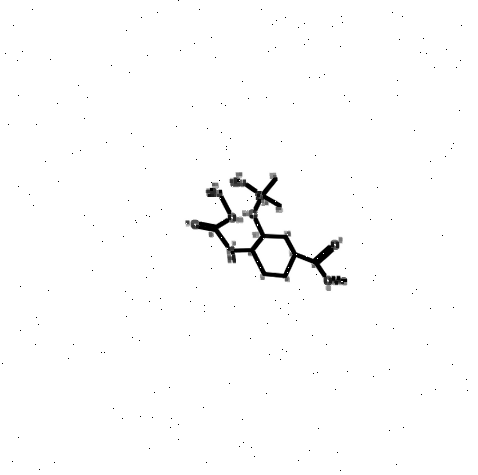 COC(=O)C1CCC(NC(=O)OC(C)(C)C)C(O[Si](C)(C)C(C)(C)C)C1